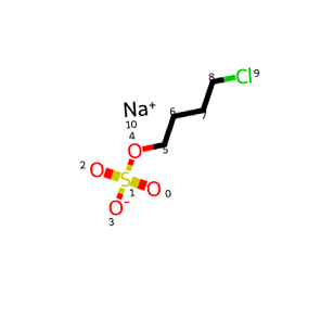 O=S(=O)([O-])OCCCCCl.[Na+]